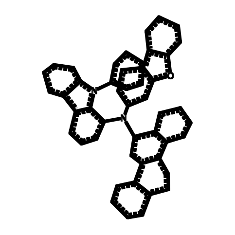 c1ccc(-n2c3ccccc3c3cccc(N(c4ccc5c(c4)oc4ccccc45)c4cc5c6ccccc6ccc5c5ccccc45)c32)cc1